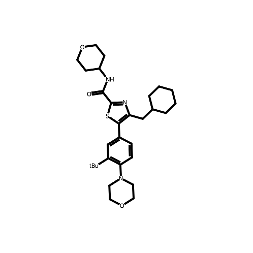 CC(C)(C)c1cc(-c2sc(C(=O)NC3CCOCC3)nc2CC2CCCCC2)ccc1N1CCOCC1